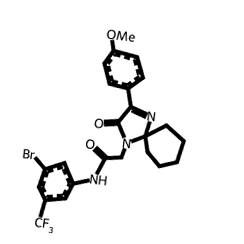 COc1ccc(C2=NC3(CCCCC3)N(CC(=O)Nc3cc(Br)cc(C(F)(F)F)c3)C2=O)cc1